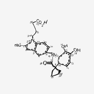 CC(C)(C)c1cc2cc(NC(=O)C3(c4ccc(O)c(O)c4)CC3)ccc2n1CCCC(=O)O